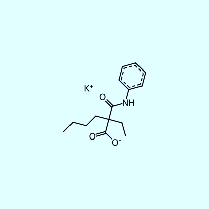 CCCCC(CC)(C(=O)[O-])C(=O)Nc1ccccc1.[K+]